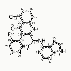 CC(Nc1ncnc2[nH]cnc12)c1nc2cccc(Cl)c2c(=O)n1-c1cnccc1F